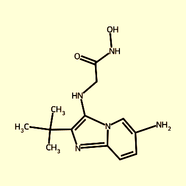 CC(C)(C)c1nc2ccc(N)cn2c1NCC(=O)NO